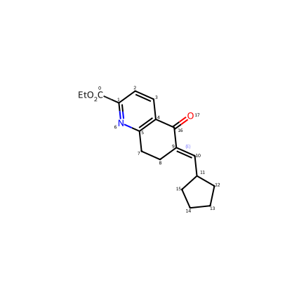 CCOC(=O)c1ccc2c(n1)CC/C(=C\C1CCCC1)C2=O